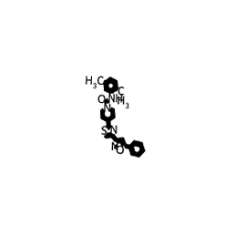 Cc1ccc(C)c(NC(=O)N2CCC(c3nc(-c4cc(C5=CCCC=C5)on4)cs3)CC2)c1